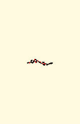 C=CCC[C@H]1CC[C@H](C=CCC[C@H]2CC[C@H]([C@H]3CC[C@H](CCC)CC3)CC2)CC1